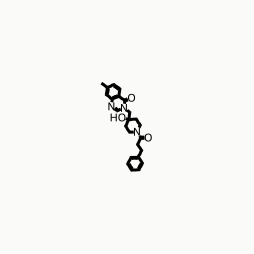 Cc1ccc2c(=O)n(CC3(O)CCN(C(=O)CCc4ccccc4)CC3)cnc2c1